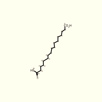 O=C(O)CCCCCCCCCCCCCCCC(=S)S